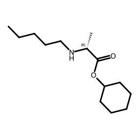 CCCCCN[C@H](C)C(=O)OC1CCCCC1